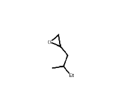 [CH2]CC(C)CC1CO1